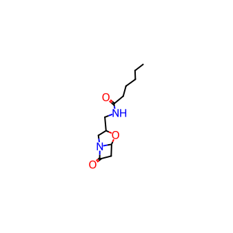 CCCCCC(=O)NCC1CN2C(=O)CC2O1